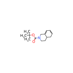 CC(C)(C)OC(=O)N1CCC2CC=CC=C2C1